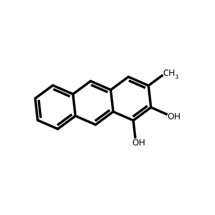 Cc1cc2cc3ccccc3cc2c(O)c1O